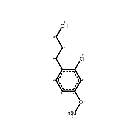 CCCCOc1ccc(CCCO)c(Cl)c1